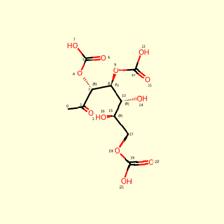 CC(=O)[C@H](OC(=O)O)[C@@H](OC(=O)O)[C@H](O)[C@H](O)COC(=O)O